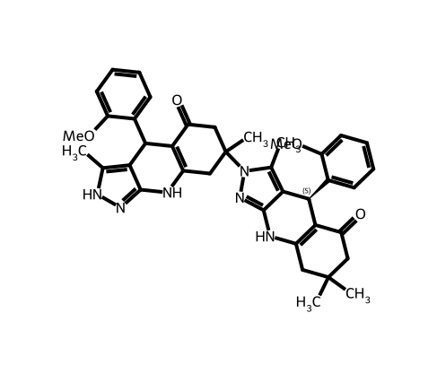 COc1ccccc1C1C2=C(CC(C)(n3nc4c(c3C)[C@@H](c3ccccc3OC)C3=C(CC(C)(C)CC3=O)N4)CC2=O)Nc2n[nH]c(C)c21